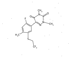 Cc1cc(F)c(-c2nn(C)c(=O)n(C)c2=O)cc1SCC(F)(F)F